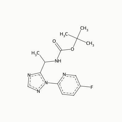 CC(NC(=O)OC(C)(C)C)c1ncnn1-c1ccc(F)cn1